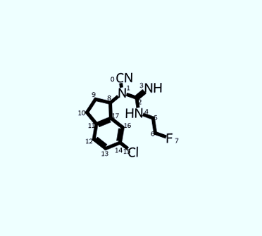 N#CN(C(=N)NCCF)C1CCc2ccc(Cl)cc21